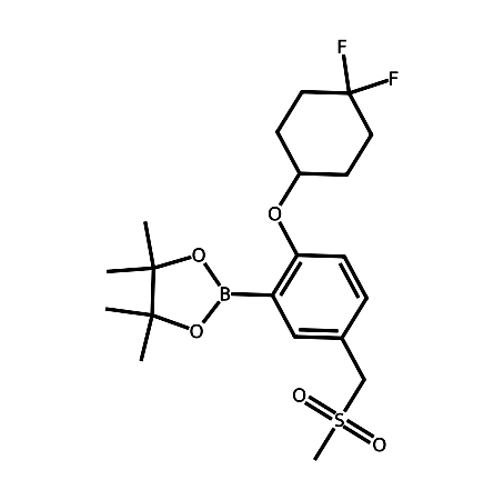 CC1(C)OB(c2cc(CS(C)(=O)=O)ccc2OC2CCC(F)(F)CC2)OC1(C)C